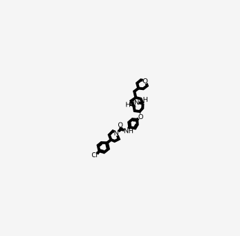 O=C(Nc1ccc(O[C@H]2C[C@H]3CC(CC4CCOCC4)C[C@@H](C2)N3)cc1)N1CCC(c2ccc(Cl)cc2)CC1